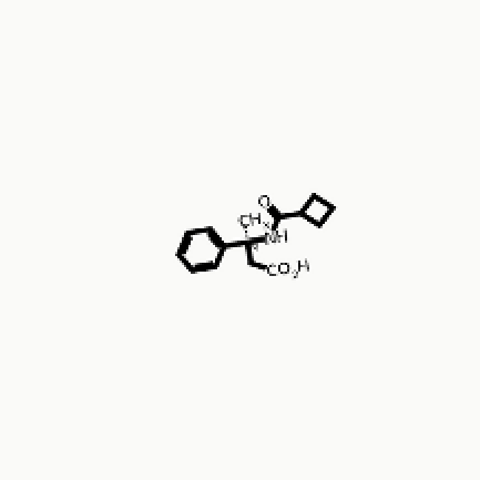 C[C@@](CC(=O)O)(NC(=O)C1CCC1)c1ccccc1